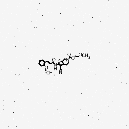 CCOc1ccccc1/C=C/C(=O)Nc1sc2c(c1C#N)CCN(C(=O)OCCOC)C2